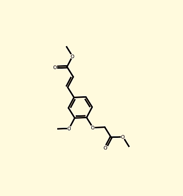 COC(=O)/C=C/c1ccc(OCC(=O)OC)c(OC)c1